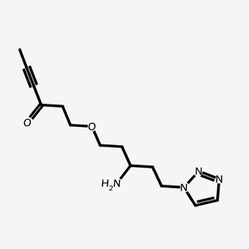 CC#CC(=O)CCOCCC(N)CCn1ccnn1